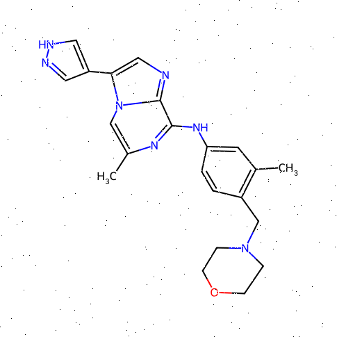 Cc1cn2c(-c3cn[nH]c3)cnc2c(Nc2ccc(CN3CCOCC3)c(C)c2)n1